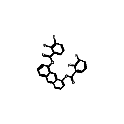 O=C(Oc1cccc2cc3cccc(OC(=O)c4cccc(F)c4F)c3cc12)c1cccc(F)c1F